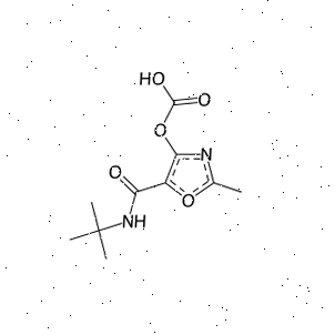 Cc1nc(OC(=O)O)c(C(=O)NC(C)(C)C)o1